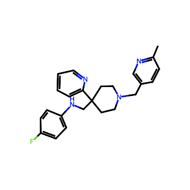 Cc1ccc(CN2CCC(CNc3ccc(F)cc3)(c3ccccn3)CC2)cn1